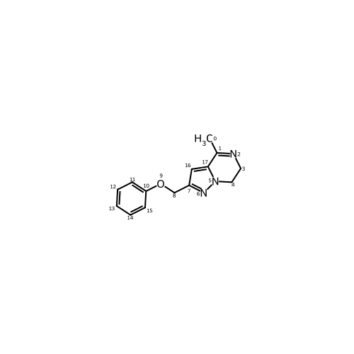 CC1=NCCn2nc(COc3ccccc3)cc21